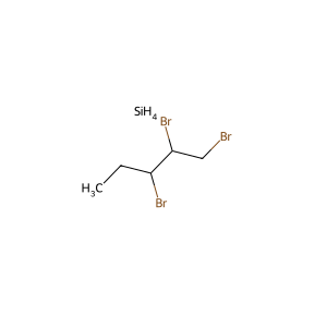 CCC(Br)C(Br)CBr.[SiH4]